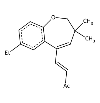 CCc1ccc2c(c1)C(C=CC(C)=O)=CC(C)(C)CO2